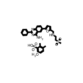 CS(=O)(=O)CCNCc1ccc(-c2ccc3nc(-c4ccccc4)nc(N)c3c2)o1.Cc1cccc(S(=O)(=O)O)c1C.O